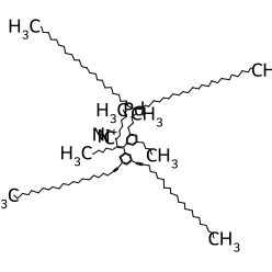 CCCCCCCCCCCCCCCCCCCCC#Cc1cc(C#CCCCCCCCCCCCCCCCCCCCC)cc(C(=C(CCCCCC)C(=C=[N+]=[N-])CCCCCC)c2cc(CCCC)cc(CCCC)c2)c1.CCCCCCCCCCCCCCCCCCCCCCCC[CH2][Pd][CH2]CCCCCCCCCCCCCCCCCCCCCCCC